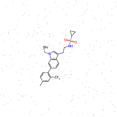 Cc1ccc(-c2ccc3c(CCNS(=O)(=O)C4CC4)cn(CC(C)(C)C)c3c2)c(C(F)(F)F)c1